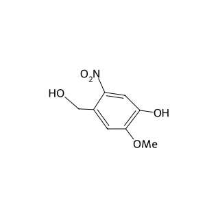 COc1cc(CO)c([N+](=O)[O-])cc1O